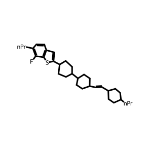 CCCc1ccc2cc(C3CCC(C4CCC(/C=C/C5CCC(CCC)CC5)CC4)CC3)sc2c1F